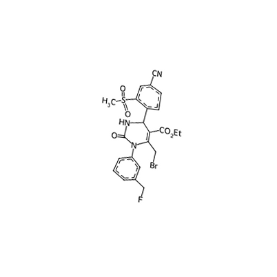 CCOC(=O)C1=C(CBr)N(c2cccc(CF)c2)C(=O)NC1c1ccc(C#N)cc1S(C)(=O)=O